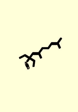 CCC(/C=C(\C)CCC=C(C)C)(CC)N=O